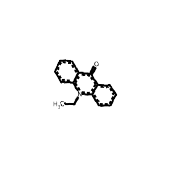 CCn1c2ccccc2c(=O)c2ccccc21